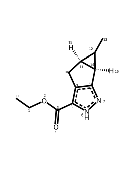 CCOC(=O)c1[nH]nc2c1C[C@H]1C(C)[C@@H]21